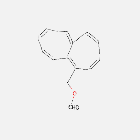 O=COCC1=C2C=CC=CC=C2C=CC=C1